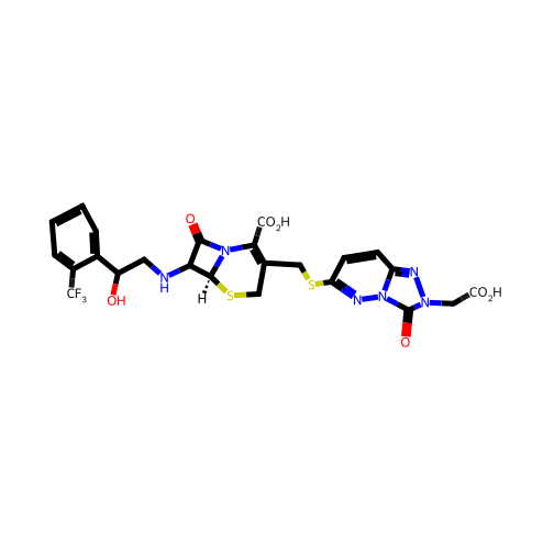 O=C(O)Cn1nc2ccc(SCC3=C(C(=O)O)N4C(=O)C(NCC(O)c5ccccc5C(F)(F)F)[C@@H]4SC3)nn2c1=O